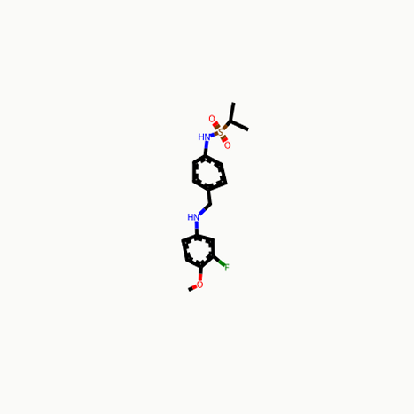 COc1ccc(NCc2ccc(NS(=O)(=O)C(C)C)cc2)cc1F